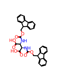 O=C(N[C@H](C(=O)O)[C@@H](NC(=O)OCC1c2ccccc2-c2ccccc21)C(=O)O)OCC1c2ccccc2-c2ccccc21